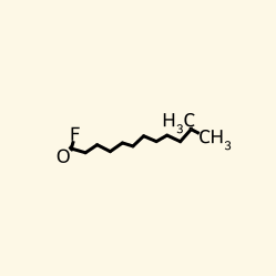 CC(C)CCCCCCCCCC(=O)F